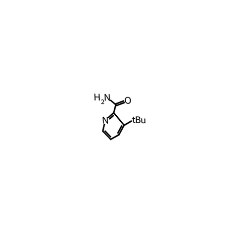 CC(C)(C)c1cccnc1C(N)=O